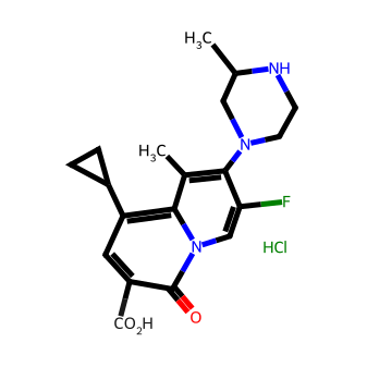 Cc1c(N2CCNC(C)C2)c(F)cn2c(=O)c(C(=O)O)cc(C3CC3)c12.Cl